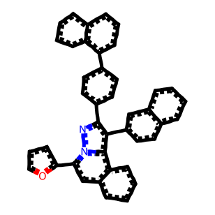 c1coc(-c2cc3ccccc3c3c(-c4ccc5ccccc5c4)c(-c4ccc(-c5cccc6ccccc56)cc4)nn23)c1